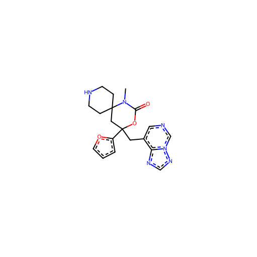 CN1C(=O)OC(Cc2cncn3ncnc23)(c2ccco2)CC12CCNCC2